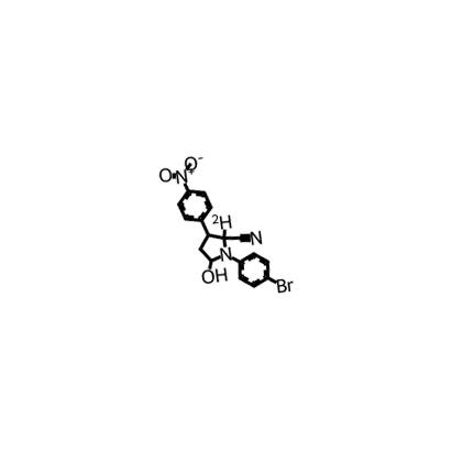 [2H]C1(C#N)C(c2ccc([N+](=O)[O-])cc2)CC(O)N1c1ccc(Br)cc1